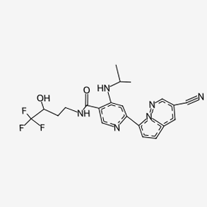 CC(C)Nc1cc(-c2ccc3cc(C#N)cnn23)ncc1C(=O)NCCC(O)C(F)(F)F